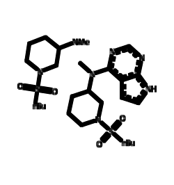 CCCCS(=O)(=O)N1CCCC(N(C)c2ncnc3[nH]ccc23)C1.CCCCS(=O)(=O)N1CCCC(NC)C1